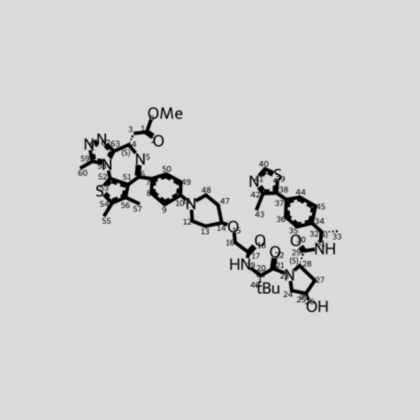 COC(=O)C[C@@H]1N=C(c2ccc(N3CCC(OCC(=O)N[C@H](C(=O)N4C[C@H](O)C[C@H]4C(=O)N[C@@H](C)c4ccc(-c5scnc5C)cc4)C(C)(C)C)CC3)cc2)c2c(sc(C)c2C)-n2c(C)nnc21